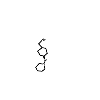 CC(=O)CC1CCC(=NN2CCCCC2)CC1